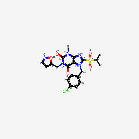 CC(C)S(=O)(=O)c1nc2c(c(=O)n(Cc3ccno3)c(=O)n2C)n1Cc1ccc(Cl)cc1